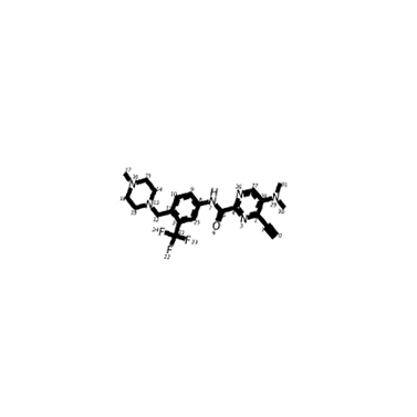 C#Cc1nc(C(=O)Nc2ccc(CN3CCN(C)CC3)c(C(F)(F)F)c2)ncc1N(C)C